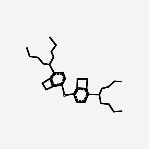 CCCCC(CCCC)c1ccc(Oc2ccc(C(CCCC)CCCC)c3c2CC3)c2c1CC2